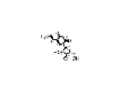 O=c1[nH]c(=O)n([C@@H]2O[C@H](CO)[C@@H](O)[C@H]2O)cc1/C=C/C(F)(F)F